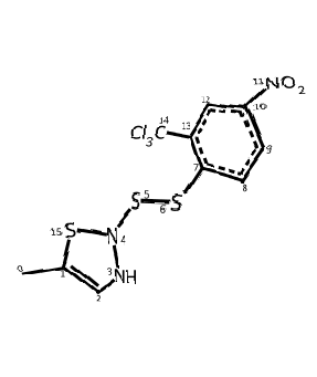 CC1=CNN(SSc2ccc([N+](=O)[O-])cc2C(Cl)(Cl)Cl)S1